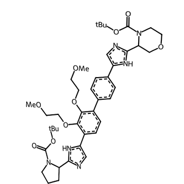 COCCOc1c(-c2ccc(-c3cnc(C4COCCN4C(=O)OC(C)(C)C)[nH]3)cc2)ccc(-c2cnc(C3CCCN3C(=O)OC(C)(C)C)[nH]2)c1OCCOC